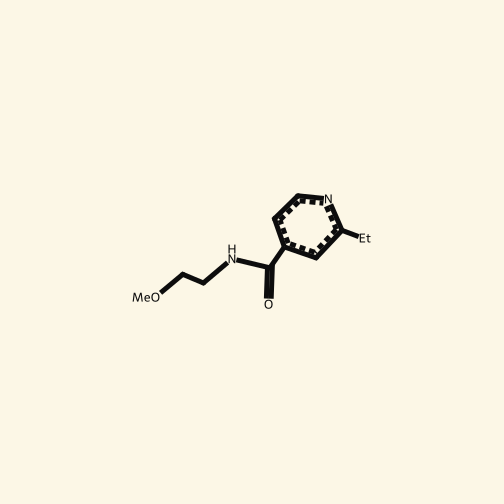 CCc1cc(C(=O)NCCOC)ccn1